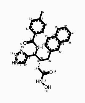 Cc1ccc(C(=O)NC(c2c[nH]nn2)[C@@H](CC(=O)NO)Cc2ccc3ccccc3c2)cc1